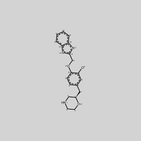 Clc1cc(C[C@@H]2CNCCO2)ccc1OCc1nc2ccccc2s1